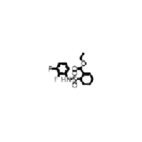 CCOC(=O)C1=CCCCC1S(=O)(=O)Nc1cccc(F)c1F